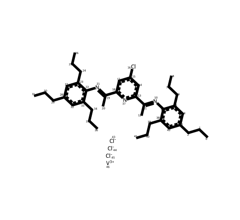 CCCc1cc(CCC)c(N=C(C)c2cc(Cl)cc(C(C)=Nc3c(CCC)cc(CCC)cc3CCC)n2)c(CCC)c1.[Cl-].[Cl-].[Cl-].[V+3]